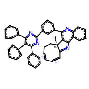 C1=C\CC[C@@H]2C(=Nc3c2c(-c2cccc(-c4nc(-c5ccccc5)c(-c5ccccc5)c(-c5ccccc5)n4)c2)nc2ccccc32)\C=C/1